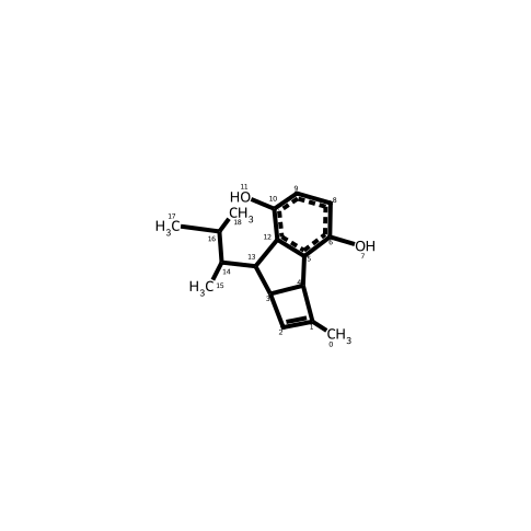 CC1=CC2C1c1c(O)ccc(O)c1C2C(C)C(C)C